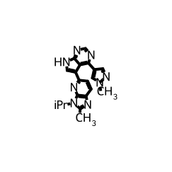 Cc1nc2ccc(-c3c[nH]c4ncnc(-c5cnn(C)c5)c34)nc2n1C(C)C